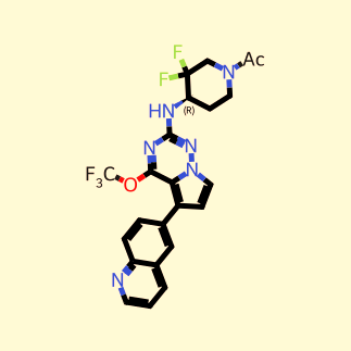 CC(=O)N1CC[C@@H](Nc2nc(OC(F)(F)F)c3c(-c4ccc5ncccc5c4)ccn3n2)C(F)(F)C1